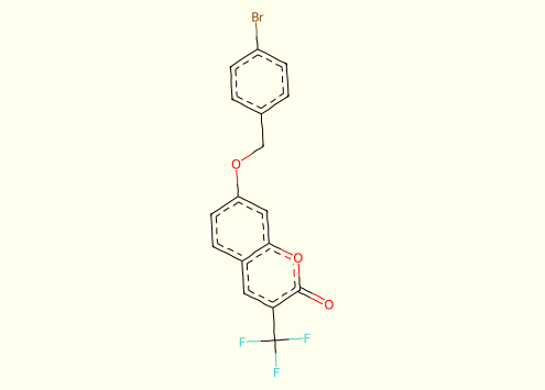 O=c1oc2cc(OCc3ccc(Br)cc3)ccc2cc1C(F)(F)F